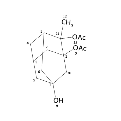 CC(=O)OC12CC3CC(CC(O)(C3)C1)C2(C)OC(C)=O